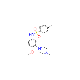 COc1ccc(NS(=O)(=O)c2ccc(C)cc2)cc1N1CCN(C)CC1